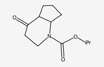 CC(C)OC(=O)N1CCC(=O)C2CCCC21